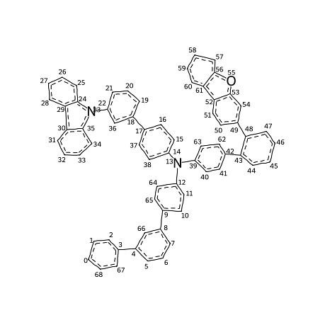 c1ccc(-c2cccc(-c3ccc(N(c4ccc(-c5cccc(-n6c7ccccc7c7ccccc76)c5)cc4)c4ccc(-c5ccccc5-c5ccc6c(c5)oc5ccccc56)cc4)cc3)c2)cc1